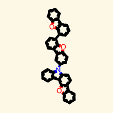 c1ccc2c(c1)oc1c(-c3cccc4c3oc3ccc(-n5c6ccccc6c6c7oc8ccccc8c7ccc65)cc34)cccc12